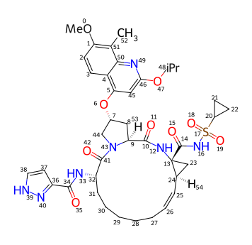 COc1ccc2c(O[C@@H]3C[C@H]4C(=O)N[C@]5(C(=O)NS(=O)(=O)C6CC6)C[C@H]5C=CCCCCC[C@H](NC(=O)c5cc[nH]n5)C(=O)N4C3)cc(OC(C)C)nc2c1C